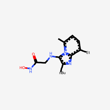 CCCCc1nc2c(CC)ccc(C)n2c1NCC(=O)NO